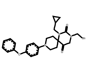 CC(C)CN1CC(=O)C2(CCN(c3ccc(Oc4ccccc4)cc3)CC2)N(CC2CC2)C1=O